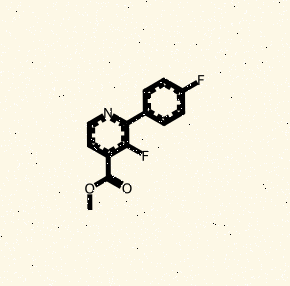 COC(=O)c1ccnc(-c2ccc(F)cc2)c1F